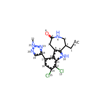 CC(=O)CC1CNC(=O)Cc2c1[nH]c1c(Cl)c(Cl)cc(-c3cnn(C)n3)c21